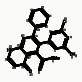 CNC(=O)c1c(-c2cc(C)nc(Cl)c2)c(-c2ccccc2)nc2[nH]ccc(=O)c12